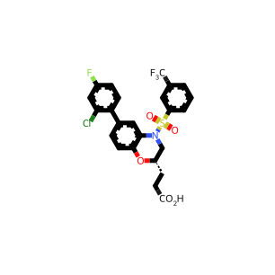 O=C(O)CC[C@H]1CN(S(=O)(=O)c2cccc(C(F)(F)F)c2)c2cc(-c3ccc(F)cc3Cl)ccc2O1